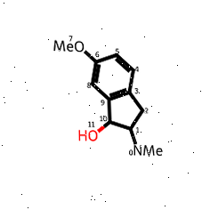 CNC1Cc2ccc(OC)cc2C1O